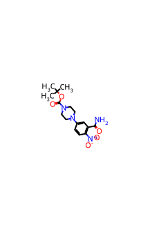 CC(C)(C)OC(=O)N1CCN(c2ccc([N+](=O)[O-])c(C(N)=O)c2)CC1